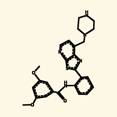 COc1cc(OC)cc(C(=O)Nc2ccccc2-c2nc3c(CN4CCNCC4)ccnc3s2)c1